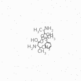 CC(C)[C@H](N)C(=O)O.C[C@H](N)C(=O)O.C[S+]([O-])c1ccccc1